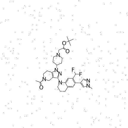 CC(=O)N1CCc2c(c(N3CCCc4cc(-c5cnn(C)c5)c(C(F)F)cc43)nn2C2CCN(CC(=O)OC(C)(C)C)CC2)C1